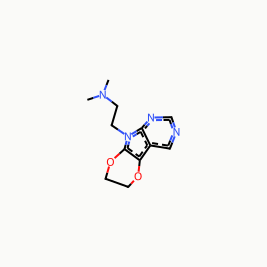 CN(C)CCn1c2c(c3cncnc31)OCCO2